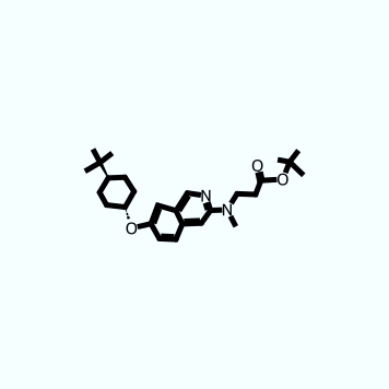 CN(CCC(=O)OC(C)(C)C)c1cc2ccc(O[C@H]3CC[C@H](C(C)(C)C)CC3)cc2cn1